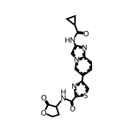 O=C(NC1CCOC1=O)c1nc(-c2ccc3nc(NC(=O)C4CC4)cn3c2)cs1